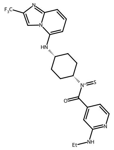 CCNc1cc(C(=O)[N+](=S)[C@H]2CC[C@@H](Nc3cccc4nc(C(F)(F)F)cn34)CC2)ccn1